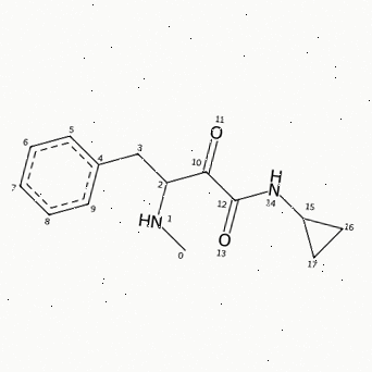 CNC(Cc1ccccc1)C(=O)C(=O)NC1CC1